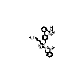 CCCCc1nnc(SCc2ccccc2[N+](=O)[O-])n1Cc1ccc(-c2ccccc2-c2nnn[nH]2)cc1